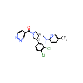 O=C(c1ccnnc1)N1C[C@H](CNc2ccc(C(F)(F)F)cn2)[C@@H](c2ccc(Cl)c(Cl)c2)C1